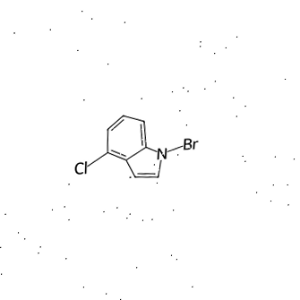 Clc1cccc2c1[c]cn2Br